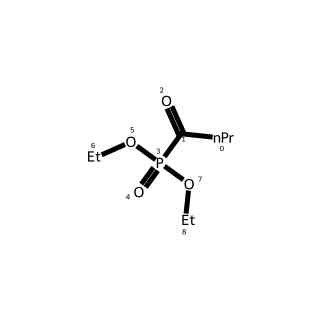 CCCC(=O)P(=O)(OCC)OCC